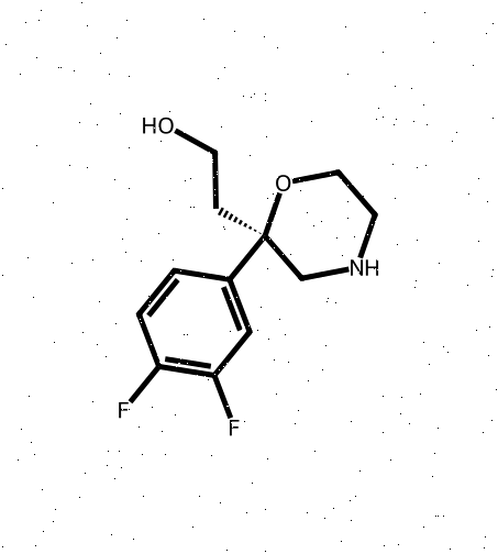 OCC[C@@]1(c2ccc(F)c(F)c2)CNCCO1